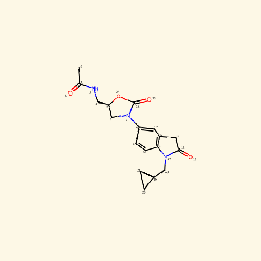 CC(=O)NC[C@@H]1CN(c2ccc3c(c2)CC(=O)N3CC2CC2)C(=O)O1